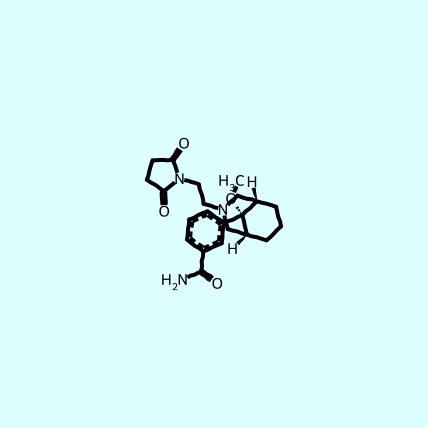 CO[C@@]1(c2cccc(C(N)=O)c2)[C@@H]2CCC[C@H]1CN(CCN1C(=O)CCC1=O)C2